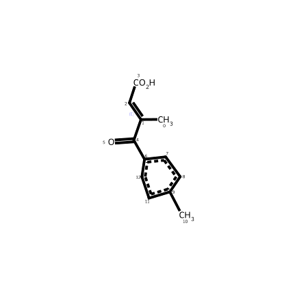 C/C(=C\C(=O)O)C(=O)c1ccc(C)cc1